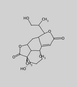 CC(CO)C1OC(=O)C=C2C1CC1OC(=O)[C@]3(C)C1[C@]2(C)CC[C@@H]3O